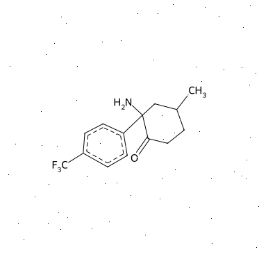 CC1CCC(=O)C(N)(c2ccc(C(F)(F)F)cc2)C1